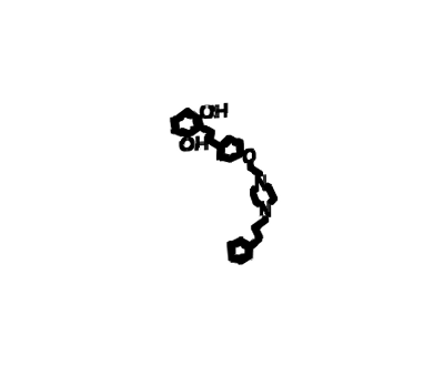 Oc1cccc(O)c1/C=C/c1ccc(OCCN2CCN(CC=Cc3ccccc3)CC2)cc1